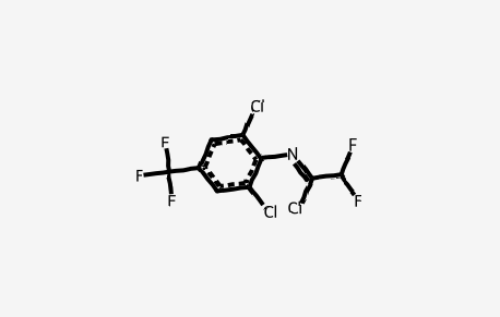 FC(F)C(Cl)=Nc1c(Cl)cc(C(F)(F)F)cc1Cl